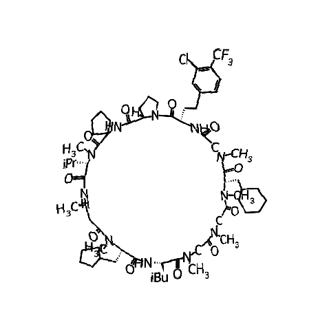 CC[C@H](C)[C@@H]1NC(=O)[C@H](CC2CCCC2)N(C)C(=O)C[C@@H](C)NC(=O)[C@H](C(C)C)N(C)C(=O)C2(CCCC2)NC(=O)[C@@H]2CCCN2C(=O)[C@H](CCc2ccc(C(F)(F)F)c(Cl)c2)NC(=O)CN(C)C(=O)[C@H](CC2CCCCC2)N(C)C(=O)CN(C)C(=O)CN(C)C1=O